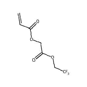 C=CC(=O)OCC(=O)OCC(F)(F)F